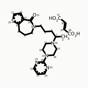 CC(CCCN1CCCc2sccc2C1=O)N1CCN(c2ncccn2)CC1.O=C(O)C=CC(=O)O